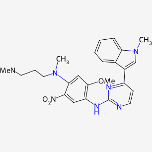 CNCCCN(C)c1cc(OC)c(Nc2nccc(-c3cn(C)c4ccccc34)n2)cc1[N+](=O)[O-]